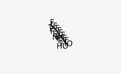 CC(F)C(F)(F)C(F)(F)C(F)(F)C(F)(F)C(F)(F)C(F)(F)C(F)(F)C(=O)O.N